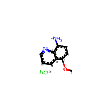 COc1ccc(N)c2ncccc12.Cl